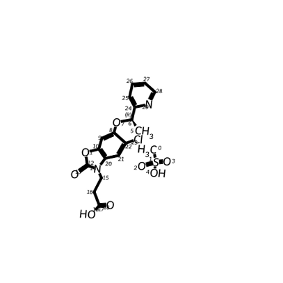 CS(=O)(=O)O.C[C@@H](Oc1cc2oc(=O)n(CCC(=O)O)c2cc1Cl)c1ccccn1